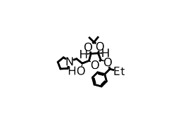 CCC(O[C@H]1O[C@H]([C@H](O)CN2CCCC2)[C@@H]2OC(C)(C)O[C@H]12)c1ccccc1